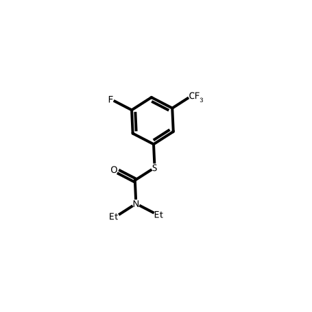 CCN(CC)C(=O)Sc1cc(F)cc(C(F)(F)F)c1